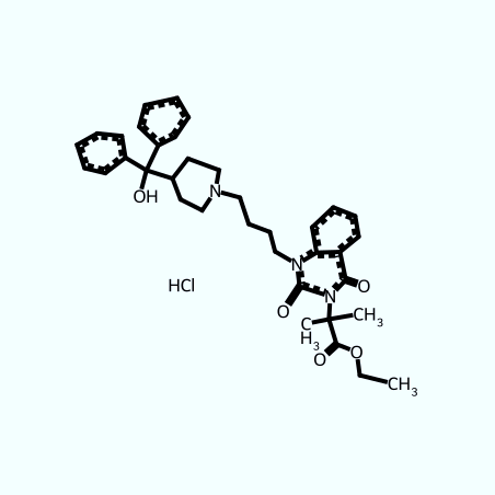 CCOC(=O)C(C)(C)n1c(=O)c2ccccc2n(CCCCN2CCC(C(O)(c3ccccc3)c3ccccc3)CC2)c1=O.Cl